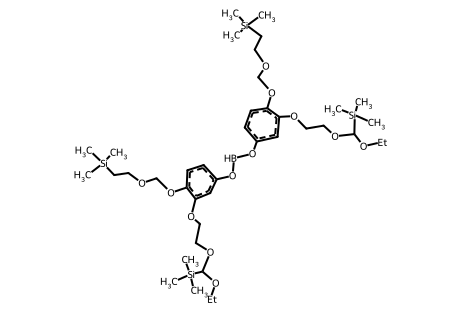 CCOC(OCCOc1cc(OBOc2ccc(OCOCC[Si](C)(C)C)c(OCCOC(OCC)[Si](C)(C)C)c2)ccc1OCOCC[Si](C)(C)C)[Si](C)(C)C